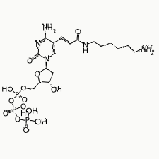 NCCCCCCNC(=O)/C=C/c1cn([C@H]2C[C@H](O)[C@@H](COP(=O)(O)OP(=O)(O)OP(=O)(O)O)O2)c(=O)nc1N